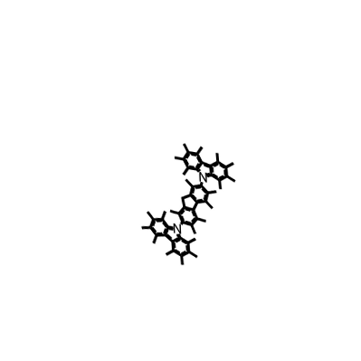 Cc1c(C)c(-n2c3c(C)c(C)c(C)c(C)c3c3c(C)c(C)c(C)c(C)c32)c(C)c2c1-c1c(C)c(C)c(-n3c4c(C)c(C)c(C)c(C)c4c4c(C)c(C)c(C)c(C)c43)c(C)c1C2